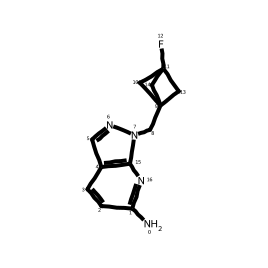 Nc1ccc2cnn(CC34CC(F)(C3)C4)c2n1